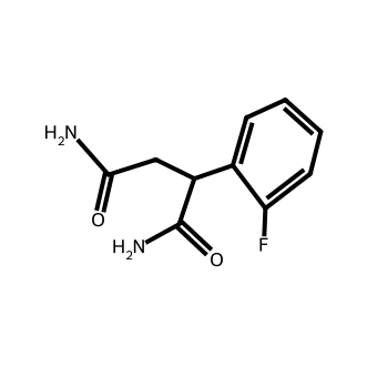 NC(=O)CC(C(N)=O)c1ccccc1F